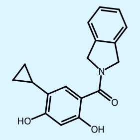 O=C(c1cc(C2CC2)c(O)cc1O)N1Cc2ccccc2C1